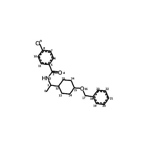 CC(NC(=O)c1ccc(Cl)cc1)C1CCC(OCc2ccccc2)CC1